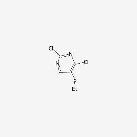 CCSc1cnc(Cl)nc1Cl